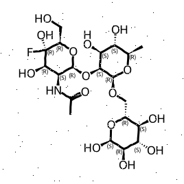 CC(=O)N[C@@H]1[C@H](O[C@@H]2[C@H](OC[C@H]3O[C@H](O)[C@H](O)[C@@H](O)[C@@H]3O)O[C@H](C)[C@@H](O)[C@@H]2O)O[C@H](CO)[C@](O)(F)[C@@H]1O